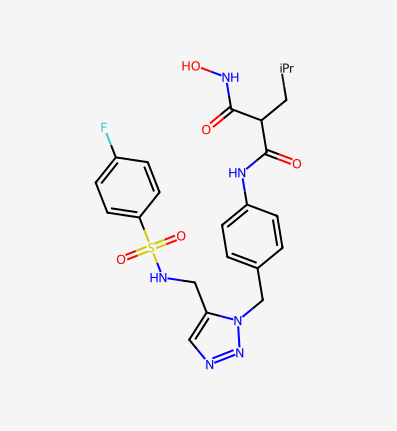 CC(C)CC(C(=O)NO)C(=O)Nc1ccc(Cn2nncc2CNS(=O)(=O)c2ccc(F)cc2)cc1